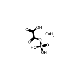 O=C(O)C(=O)OP(=O)(O)O.[CaH2]